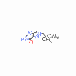 COC(C)Cn1cc2nc[nH]c(=O)c2n1